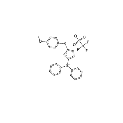 COc1ccc(Sc2ccc([S+](c3ccccc3)c3ccccc3)s2)cc1.O=S(=O)([O-])C(F)(F)F